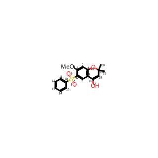 COc1cc2c(cc1S(=O)(=O)c1ccccc1)C(O)=CC(C)(C)O2